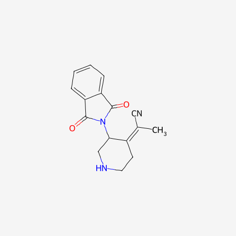 CC(C#N)=C1CCNCC1N1C(=O)c2ccccc2C1=O